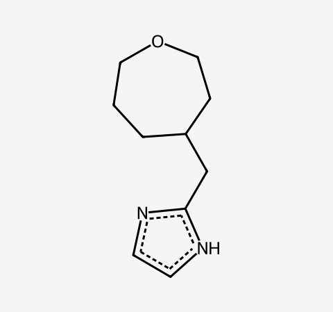 c1c[nH]c(CC2CCCOCC2)n1